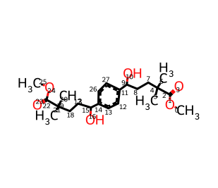 COC(=O)C(C)(C)CCC(O)c1ccc(C(O)CCC(C)(C)C(=O)OC)cc1